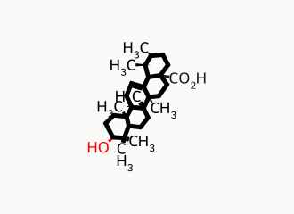 C[C@@H]1CC[C@]2(C(=O)O)CC[C@]3(C)C(=CCC4C3(C)CCC3C(C)(C)[C@@H](O)CC[C@@]34C)C2[C@H]1C